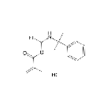 C=C(C)C(=O)OC(CC)NC(C)(C)c1ccccc1.Cl